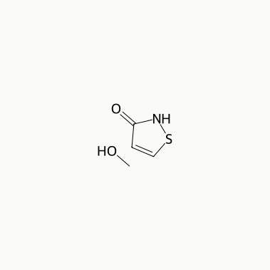 CO.O=c1ccs[nH]1